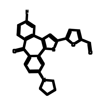 O=Cc1ccc(-c2cc3c4cc(F)ccc4c(=O)c4ccc(N5CCCC5)cc4c3s2)o1